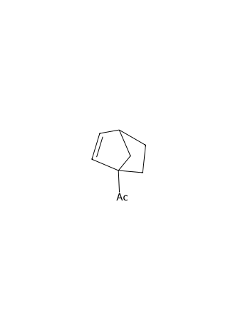 CC(=O)C12C=CC(CC1)C2